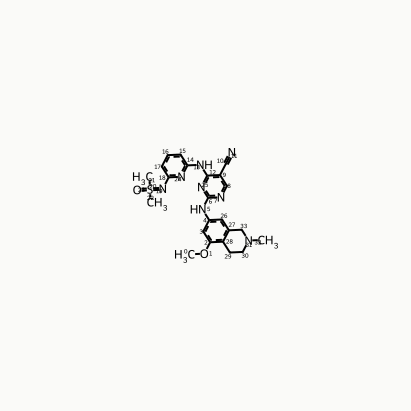 COc1cc(Nc2ncc(C#N)c(Nc3cccc(N=S(C)(C)=O)n3)n2)cc2c1CCN(C)C2